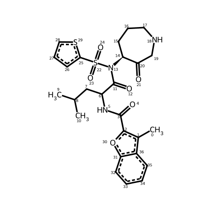 Cc1c(C(=O)NC(CC(C)C)C(=O)N([C@H]2CCCNCC2=O)S(=O)(=O)c2cccs2)oc2ccccc12